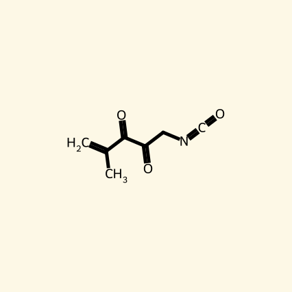 C=C(C)C(=O)C(=O)CN=C=O